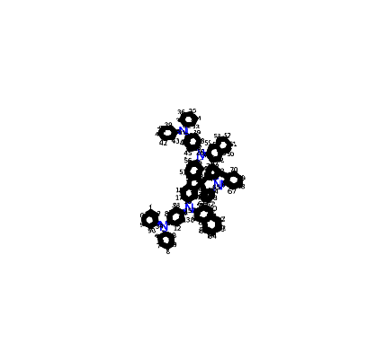 c1ccc(N(c2ccccc2)c2ccc(N(c3ccc4c(c3)C3(c5cc(N(c6ccc(N(c7ccccc7)c7ccccc7)cc6)c6ccc7ccccc7c6)ccc5-4)c4ccccc4-n4c5ccccc5c5cccc3c54)c3ccc4ccccc4c3)cc2)cc1